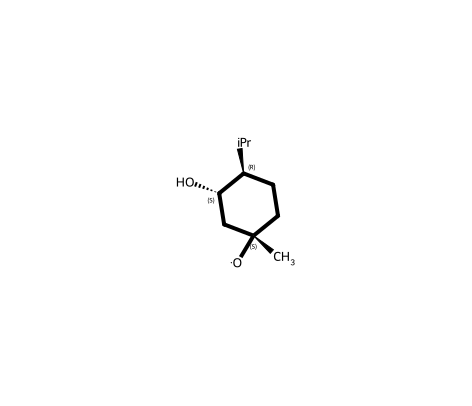 CC(C)[C@H]1CC[C@](C)([O])C[C@@H]1O